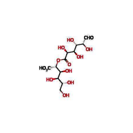 O=C[C@H](O)[C@@H](O)[C@@H](O)[C@H](O)C(=O)O[C@@H](C(=O)O)[C@@H](O)[C@H](O)[C@H](O)CO